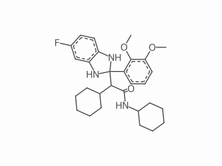 COc1cccc(C2(C(C(=O)NC3CCCCC3)C3CCCCC3)Nc3ccc(F)cc3N2)c1OC